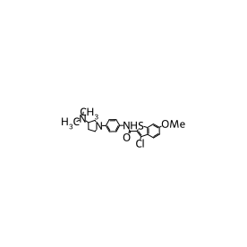 COc1ccc2c(Cl)c(C(=O)Nc3ccc(N4CCC(N(C)C)C4)cc3)sc2c1